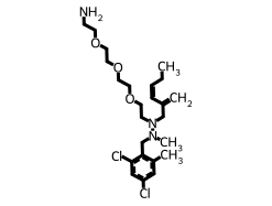 C=C(/C=C\CC)CN(CCOCCOCCOCCN)N(C)Cc1c(C)cc(Cl)cc1Cl